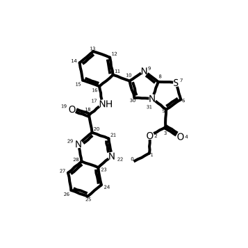 CCOC(=O)c1csc2nc(-c3ccccc3NC(=O)c3cnc4ccccc4n3)cn12